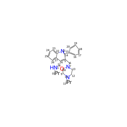 CC(C)NC(=O)c1c(CN2CCN(C(C)C)CC2)c(-c2ccccc2)nc2ccccc12